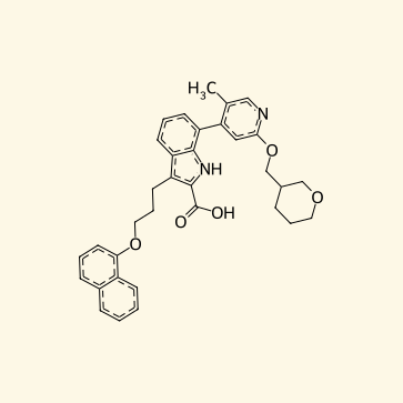 Cc1cnc(OCC2CCCOC2)cc1-c1cccc2c(CCCOc3cccc4ccccc34)c(C(=O)O)[nH]c12